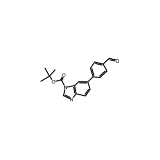 CC(C)(C)OC(=O)n1cnc2ccc(-c3ccc(C=O)cc3)cc21